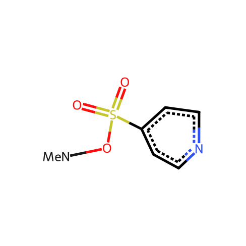 CNOS(=O)(=O)c1ccncc1